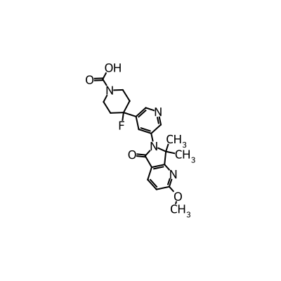 COc1ccc2c(n1)C(C)(C)N(c1cncc(C3(F)CCN(C(=O)O)CC3)c1)C2=O